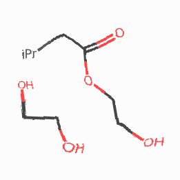 CC(C)CC(=O)OCCO.OCCO